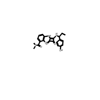 CCC(Nc1c(Nc2cccc(C(=O)N(C)C)c2O)c(=O)c1=O)c1ccc(O)cc1